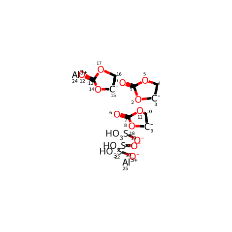 O=C1O[CH-]CO1.O=C1O[CH-]CO1.O=C1O[CH-]CO1.O=S(=O)([O-])O.O=S(=O)([O-])O.O=S(=O)([O-])O.[Al+3].[Al+3]